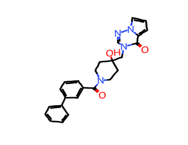 O=C(c1cccc(-c2ccccc2)c1)N1CCC(O)(Cn2cnn3cccc3c2=O)CC1